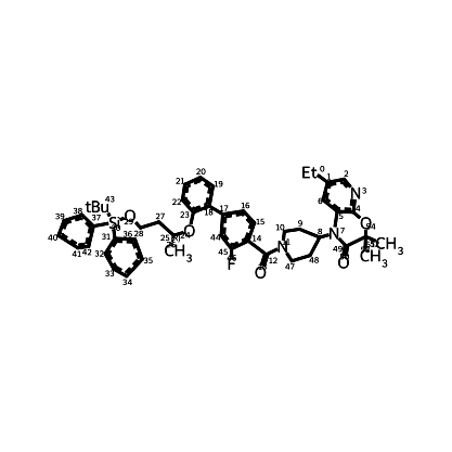 CCc1cnc2c(c1)N(C1CCN(C(=O)c3ccc(-c4ccccc4O[C@H](C)CCO[Si](c4ccccc4)(c4ccccc4)C(C)(C)C)cc3F)CC1)C(=O)C(C)(C)O2